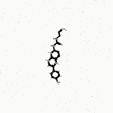 C=CCNC(=S)Nc1ccc2nc(-c3ccc(O)cc3)cnc2n1